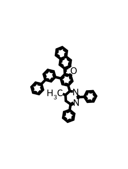 CC1CC(c2ccccc2)=NC(c2ccccc2)=NC1c1cc(-c2cccc(-c3ccccc3)c2)c2c(c1)oc1cc3ccccc3cc12